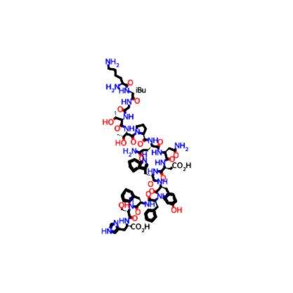 CC[C@H](C)[C@H](NC(=O)[C@@H](N)CCCCN)C(=O)NCC(=O)N[C@H](C(=O)N[C@H](C(=O)N1CCC[C@H]1C(=O)N[C@@H](CCC(N)=O)C(=O)N[C@@H](CC(N)=O)C(=O)N[C@@H](CC(=O)O)C(=O)N[C@@H](Cc1c[nH]c2ccccc12)C(=O)N[C@@H](Cc1ccc(O)cc1)C(=O)N[C@@H](Cc1ccccc1)C(=O)N[C@@H](Cc1ccccc1)C(=O)N[C@@H](CO)C(=O)N[C@@H](Cc1c[nH]cn1)C(=O)O)[C@@H](C)O)[C@@H](C)O